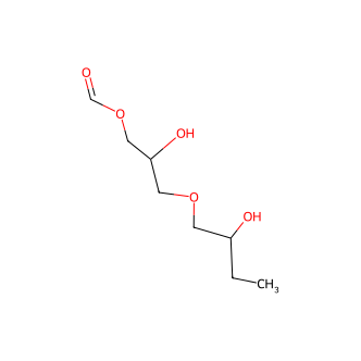 CCC(O)COCC(O)COC=O